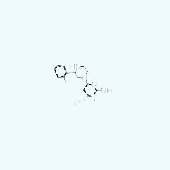 Cc1ccccc1C1CN(c2cc(C(C)C)nc(N)n2)CCN1